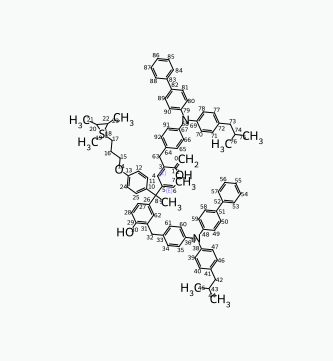 C=C(O)/C(=C\C(=C/C)C(C)(c1ccc(OCCC[Si]2(C)C(C)C2C)cc1)c1ccc(O)c(Cc2ccc(N(c3ccc(CC(C)C)cc3)c3ccc(-c4ccccc4)cc3)cc2)c1)Cc1ccc(N(c2ccc(CC(C)C)cc2)c2ccc(-c3ccccc3)cc2)cc1